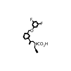 C#CCN(CC(=C)c1cccc(COc2cc(F)cc(F)c2)c1)C(=O)O